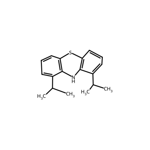 CC(C)c1cccc2c1Nc1c(cccc1C(C)C)S2